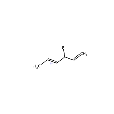 C=CC(F)/C=C/C